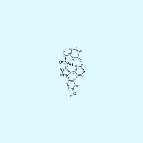 COc1ccc(-c2noc(NC(=O)C(C)c3cccc(C)c3)c2-c2ccncc2)cc1